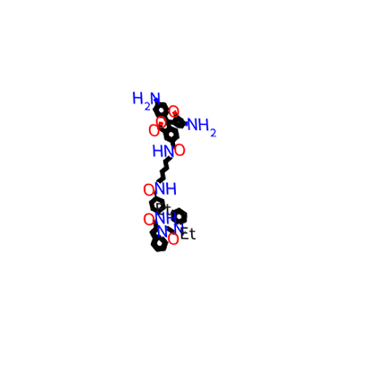 CCc1cccc(N(CC)C(=O)Cn2c(C(=O)N[C@H]3CC[C@H](C(=O)NCCCCCCNC(=O)c4ccc5c(c4)C(=O)OC54c5ccc(N)cc5Oc5cc(N)ccc54)CC3)cc3ccccc32)c1